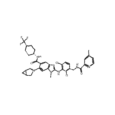 Cc1ccnc(C(=O)NCc2ccc(Cl)c(Nc3nc4cc(C(=O)N[C@H]5CC[C@H](C(F)(F)F)CC5)c(N5CC6CC6C5)cc4n3C)c2Cl)c1